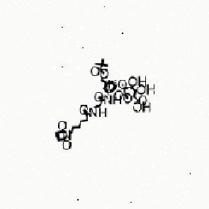 CC(C)(C)C(=O)OCc1ccc(O[C@@H]2O[C@H](C(=O)O)[C@@H](O)[C@H](O)[C@H]2O)c(NC(=O)CCNC(=O)CCCCCN2C(=O)C=CC2=O)c1